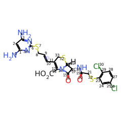 Nc1cc(N)nc(SC/C=C/C2=C(C(=O)O)N3C(=O)[C@@H](NC(=O)CSc4cc(Cl)ccc4Cl)[C@H]3SC2)n1